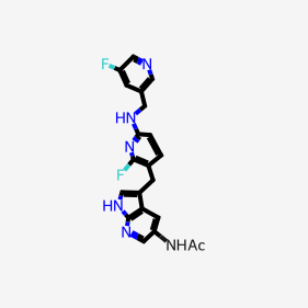 CC(=O)Nc1cnc2[nH]cc(Cc3ccc(NCc4cncc(F)c4)nc3F)c2c1